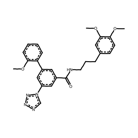 COc1ccc(CCCNC(=O)c2cc(-c3ccccc3OC)cc(-n3cnnn3)c2)cc1OC